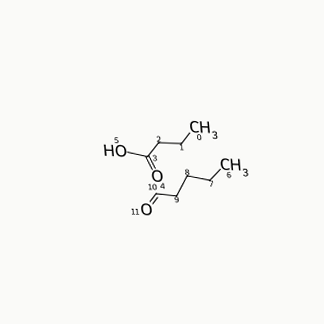 CCCC(=O)O.CCCCC=O